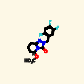 O=C(O)O[C@H]1CCCc2nn(Cc3cc(F)c(F)cc3F)c(=O)n21